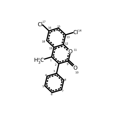 Cc1c(-c2ccccc2)c(=O)oc2c(Cl)cc(Cl)cc12